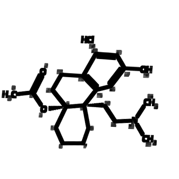 CC(=O)O[C@@]12CCCC[C@]1(CCN(C)C)c1cc(O)ccc1CC2.Cl